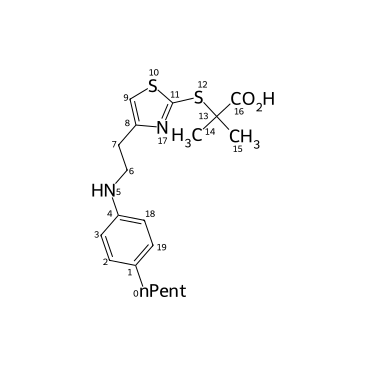 CCCCCc1ccc(NCCc2csc(SC(C)(C)C(=O)O)n2)cc1